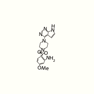 COc1ccc(S(=O)(=O)N2CCN(c3ncnc4[nH]ccc34)CC2)c(N)c1